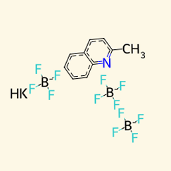 Cc1ccc2ccccc2n1.F[B-](F)(F)F.F[B-](F)(F)F.F[B-](F)(F)F.[KH]